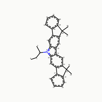 CCC(C)n1c2cc3c(cc2c2cc4c(cc21)-c1ccccc1C4(C)C)C(C)(C)c1ccccc1-3